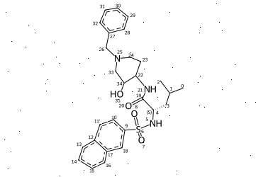 CC(C)C[C@H](NS(=O)(=O)c1ccc2ccccc2c1)C(=O)NC1CCN(Cc2ccccc2)CC1O